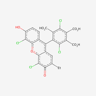 CCc1cc2c(-c3c(Cl)c(C(=O)O)c(C(=O)O)c(Cl)c3C(=O)O)c3ccc(O)c(Cl)c3oc-2c(Cl)c1=O